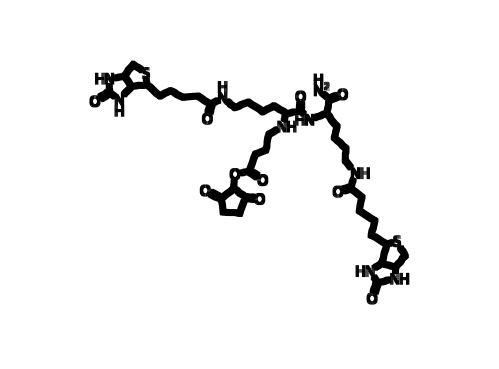 NC(=O)C(CCCCNC(=O)CCCCC1SCC2NC(=O)NC21)NC(=O)C(CCCCNC(=O)CCCCC1SCC2NC(=O)NC21)NCCCC(=O)OC1C(=O)CCC1=O